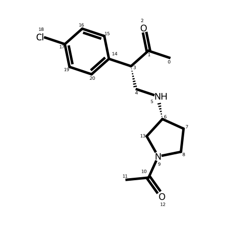 CC(=O)[C@H](CN[C@@H]1CCN(C(C)=O)C1)c1ccc(Cl)cc1